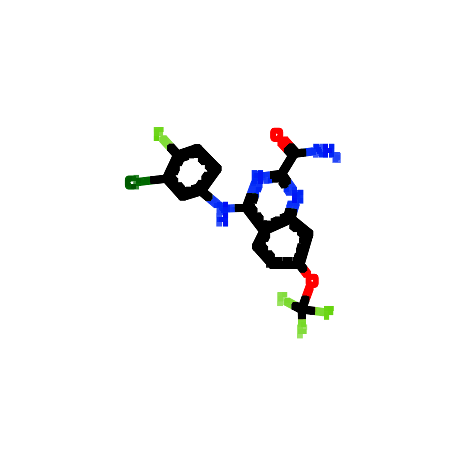 NC(=O)c1nc(Nc2ccc(F)c(Cl)c2)c2c[c]c(OC(F)(F)F)cc2n1